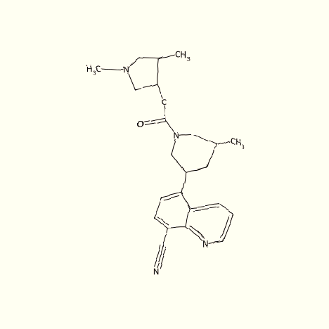 CC1CC(c2ccc(C#N)c3ncccc23)CN(C(=O)CC2CN(C)CC2C)C1